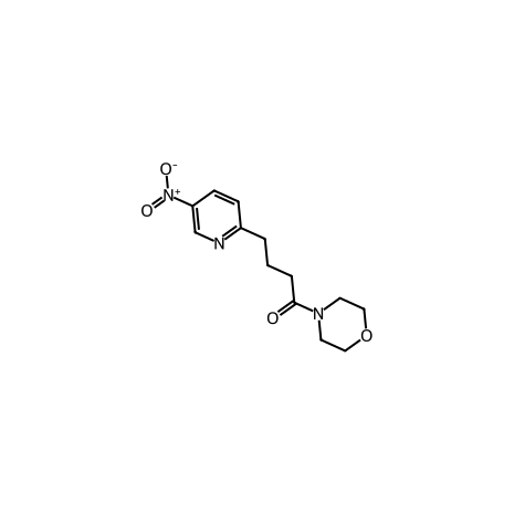 O=C(CCCc1ccc([N+](=O)[O-])cn1)N1CCOCC1